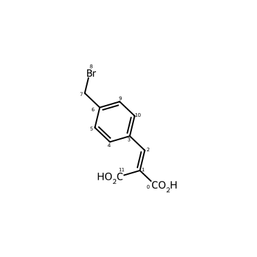 O=C(O)C(=Cc1ccc(CBr)cc1)C(=O)O